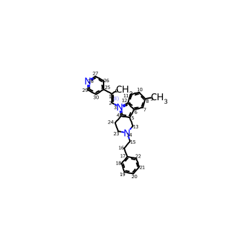 C/C(=C\n1c2c(c3cc(C)ccc31)CN(CCc1ccccc1)CC2)c1ccncc1